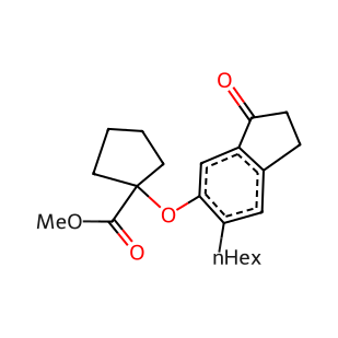 CCCCCCc1cc2c(cc1OC1(C(=O)OC)CCCC1)C(=O)CC2